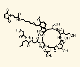 CC[C@H](C)[C@@H](NC(=O)CN)C(=O)NCC(=O)N[C@H]1C[S+]([O-])c2[nH]c3c(CSCCCCNC(=O)CCN4C(=O)C=CC4=O)c(OC)ccc3c2C[C@@H](CO)NC(=O)[C@H]([C@@H](C)[C@@H](O)CO)NC(=O)[C@H]2C[C@@H](O)CN2C(=O)[C@H](CC(N)=O)NC1=O